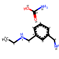 CCNCc1cccc(CN)c1.NC(=O)O